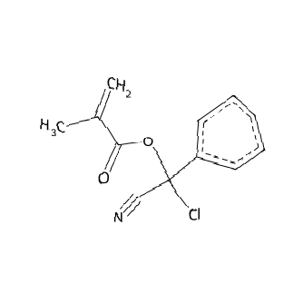 C=C(C)C(=O)OC(Cl)(C#N)c1ccccc1